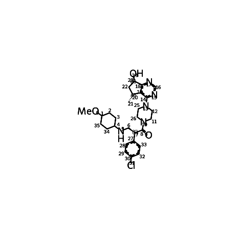 COC1CCC(NC[C@@H](C(=O)N2CCN(c3ncnc4c3[C@H](C)C[C@H]4O)CC2)c2ccc(Cl)cc2)CC1